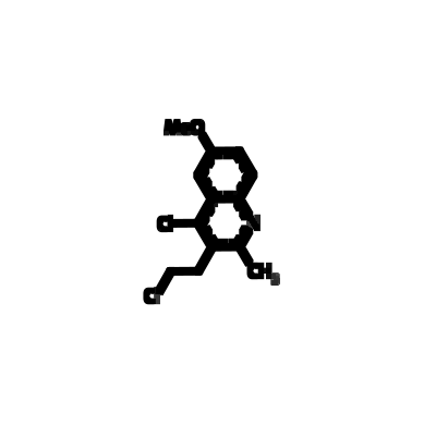 COc1ccc2nc(C)c(CCCl)c(Cl)c2c1